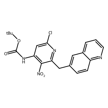 CC(C)(C)OC(=O)Nc1cc(Cl)nc(Cc2ccc3ncccc3c2)c1[N+](=O)[O-]